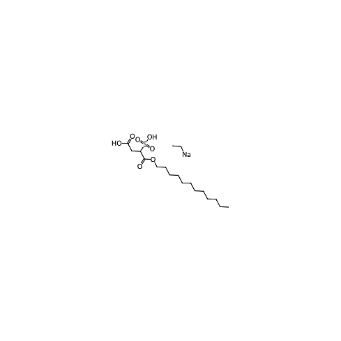 CCCCCCCCCCCCOC(=O)C(CC(=O)O)S(=O)(=O)O.C[CH2][Na]